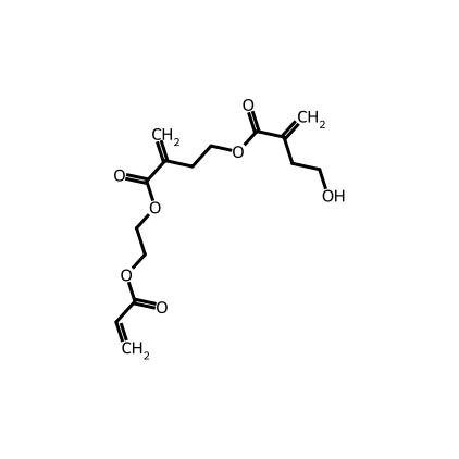 C=CC(=O)OCCOC(=O)C(=C)CCOC(=O)C(=C)CCO